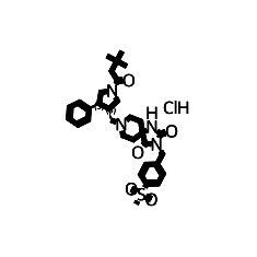 CC(C)(C)CC(=O)N1C[C@H](CN2CCC3(CC2)NC(=O)N(Cc2ccc(S(C)(=O)=O)cc2)C3=O)[C@@H](c2ccccc2)C1.Cl